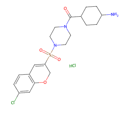 Cl.NC1CCC(C(=O)N2CCN(S(=O)(=O)C3=Cc4ccc(Cl)cc4OC3)CC2)CC1